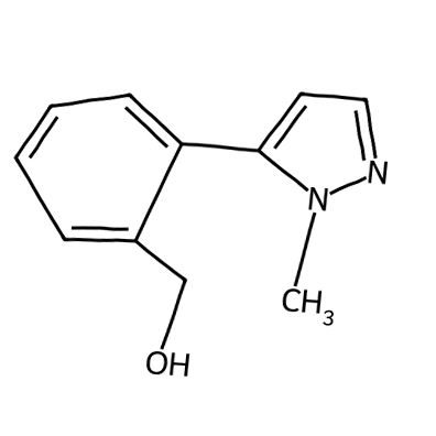 Cn1nccc1-c1ccccc1CO